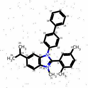 Cc1ccc(C)c(-c2n(-c3ccc(-c4ccccc4)cc3)c3cc(C(C)C)ccc3[n+]2C)c1